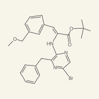 COCc1cccc(/C=C(\Nc2ncc(Br)nc2Cc2ccccc2)C(=O)OC(C)(C)C)c1